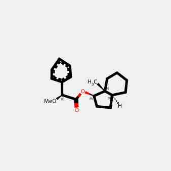 CO[C@H](C(=O)O[C@@H]1CC[C@@H]2CCCC[C@]21C)c1ccccc1